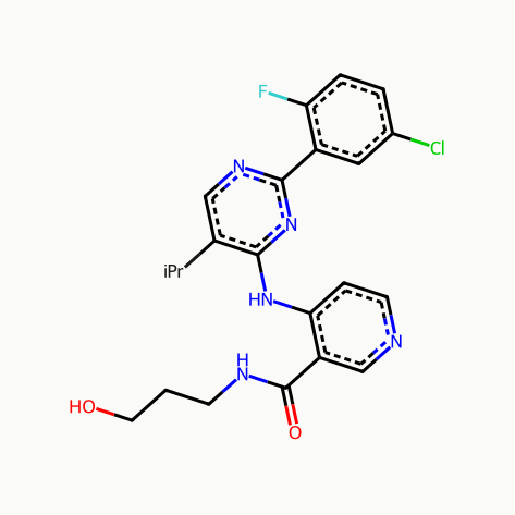 CC(C)c1cnc(-c2cc(Cl)ccc2F)nc1Nc1ccncc1C(=O)NCCCO